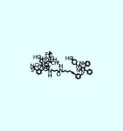 Cc1ncsc1-c1cccc([C@H](CC(=O)NCCCC(=O)NCCCCC#Cc2cccc(Cn3c(-c4ccccc4)c(-c4ccccc4)c4c(=N)n(C5CCC(O)CC5)cnc43)c2)NC(=O)[C@@H]2C[C@@H](O)CN2C(=O)C(NC(=O)C2(F)CC2)C(C)(C)C)c1